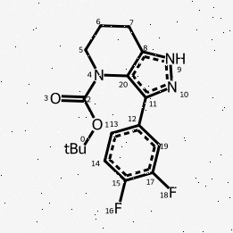 CC(C)(C)OC(=O)N1CCCc2[nH]nc(-c3ccc(F)c(F)c3)c21